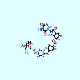 CC(C)(C)OCOCN1CCN(Cc2ccc(COc3cccc4c3CN(C3CCC(=O)NC3=O)C4=O)cc2)CC1